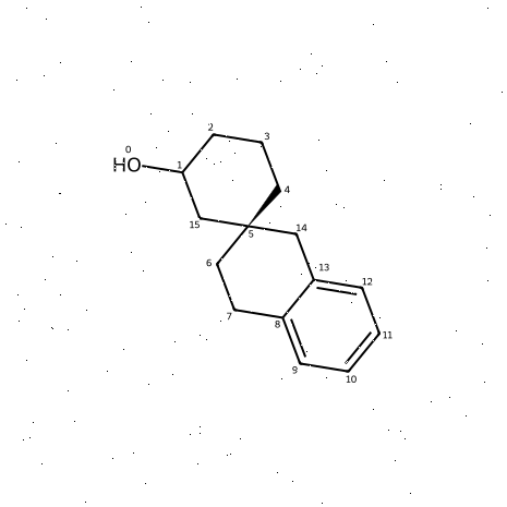 OC1CCC[C@@]2(CCc3ccccc3C2)C1